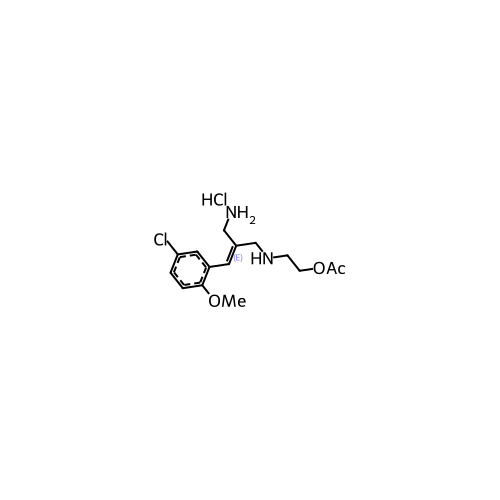 COc1ccc(Cl)cc1/C=C(\CN)CNCCOC(C)=O.Cl